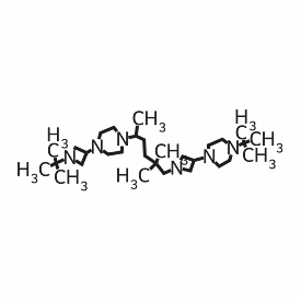 CC(CCC(C)(C)CN1CC(N2CCN(C(C)(C)C)CC2)C1)N1CCN(C2CN(C(C)(C)C)C2)CC1